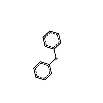 [B](c1ccccc1)c1ccccc1